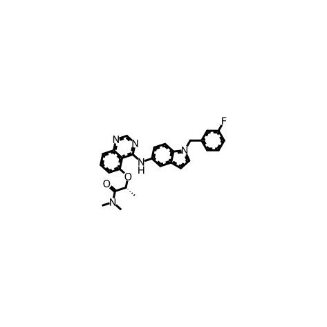 C[C@@H](Oc1cccc2ncnc(Nc3ccc4c(ccn4Cc4cccc(F)c4)c3)c12)C(=O)N(C)C